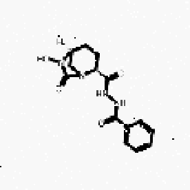 O=C(NNC(=O)[C@@H]1CC[C@H]2CN1C(=O)N2O)c1ccccc1